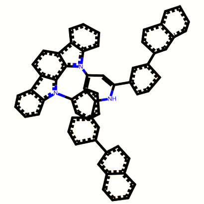 C1=C(c2cccc(-c3ccc4ccccc4c3)c2)NC(c2cccc(-c3ccc4ccccc4c3)c2)C=C1n1c2ccccc2c2ccc3c4ccccc4n(-c4ccccc4)c3c21